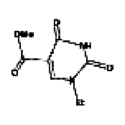 CCn1cc(C(=O)OC)c(=O)[nH]c1=O